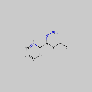 CCCC(=NN)c1ccccn1